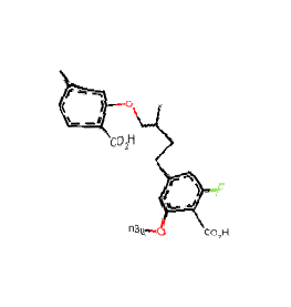 CCCCOc1cc(CCC(C)COc2cc(C)ccc2C(=O)O)cc(F)c1C(=O)O